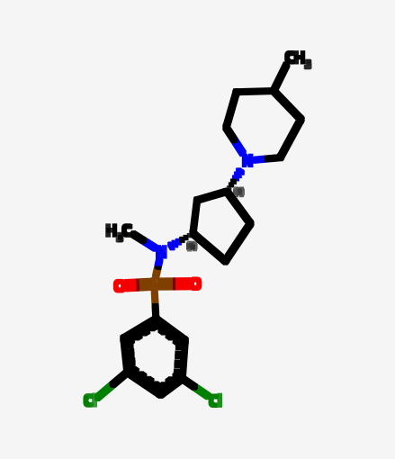 CC1CCN([C@@H]2CC[C@H](N(C)S(=O)(=O)c3cc(Cl)cc(Cl)c3)C2)CC1